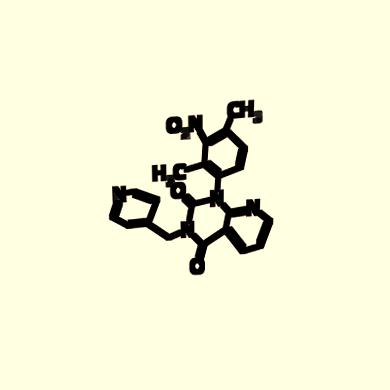 Cc1ccc(-n2c(=O)n(Cc3ccncc3)c(=O)c3cccnc32)c(C)c1[N+](=O)[O-]